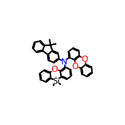 CC1(C)c2ccccc2-c2ccc(N(c3cccc4c3Oc3ccccc3O4)c3cccc4c3Oc3ccccc3[Si]4(C)C)cc21